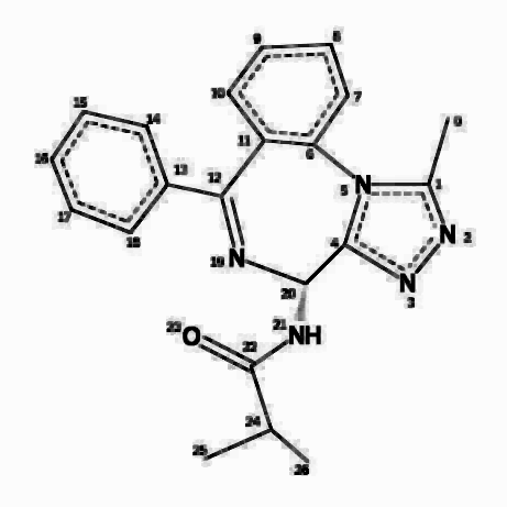 Cc1nnc2n1-c1ccccc1C(c1ccccc1)=N[C@H]2NC(=O)C(C)C